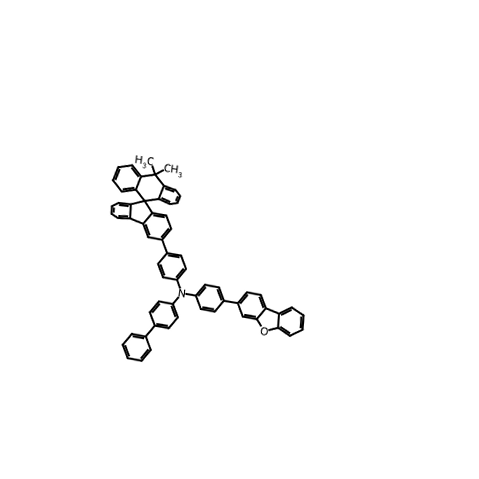 CC1(C)c2ccccc2C2(c3ccccc3-c3cc(-c4ccc(N(c5ccc(-c6ccccc6)cc5)c5ccc(-c6ccc7c(c6)oc6ccccc67)cc5)cc4)ccc32)c2ccccc21